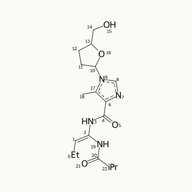 CC/C=C(/NC(=O)c1ncn(C2CCC(CO)O2)c1C)NC(=O)C(C)C